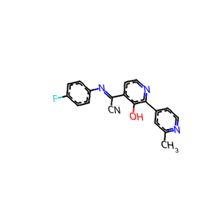 Cc1cc(-c2nccc(/C(C#N)=N/c3ccc(F)cc3)c2O)ccn1